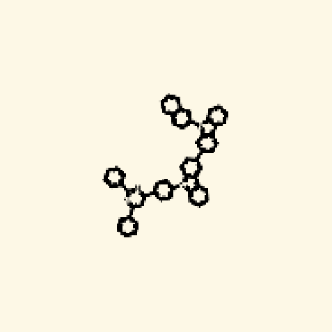 c1ccc(-c2cc(-c3ccc(-n4c5ccccc5c5cc(-c6ccc7c8ccccc8n(-c8ccc9ccccc9c8)c7c6)ccc54)cc3)nc(-c3ccccc3)n2)cc1